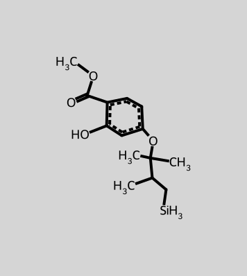 COC(=O)c1ccc(OC(C)(C)C(C)C[SiH3])cc1O